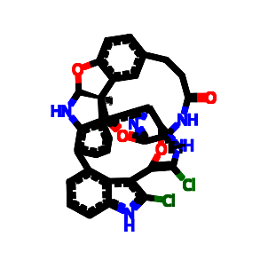 CC(C)C1NC(=O)CCc2ccc3c(c2)[C@]24c5cccc(c5NC2O3)-c2cccc3[nH]c(Cl)c(c23)C2=C(Cl)NC(O2)c2nc1oc24